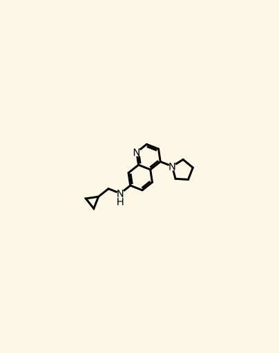 c1cc(N2CCCC2)c2ccc(NCC3CC3)cc2n1